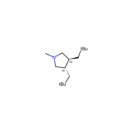 CN1C[C@@H](CC(C)(C)C)[C@H](CC(C)(C)C)C1